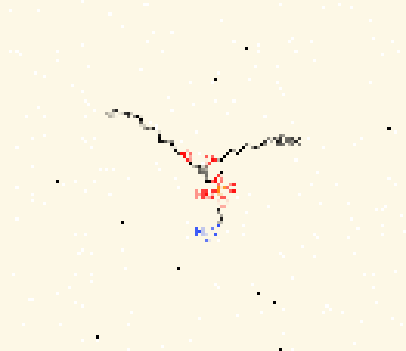 CCCCCCCCCCCCCCCCOC[C@H](COP(=O)(O)OCCN)OCCCCCCCCCCCCCCCC